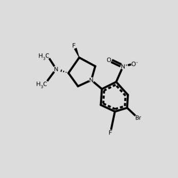 CN(C)[C@H]1CN(c2cc(F)c(Br)cc2[N+](=O)[O-])C[C@@H]1F